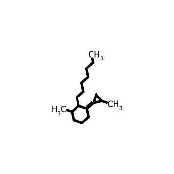 CCCCCCCC1C(=C2CC2C)CCCC1C